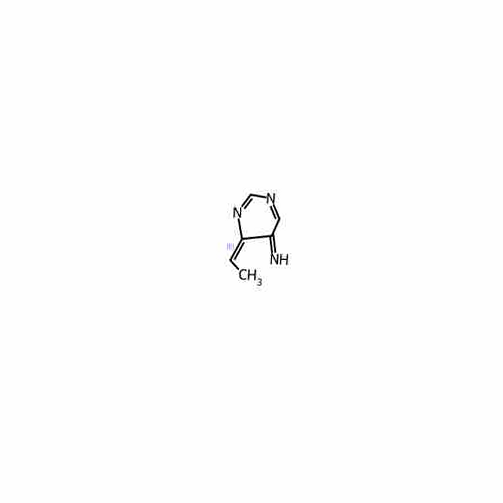 C/C=C1/N=CN=CC1=N